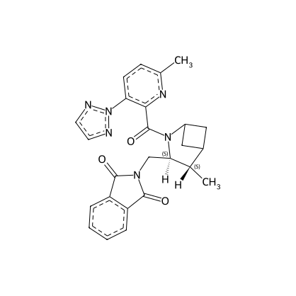 Cc1ccc(-n2nccn2)c(C(=O)N2C3CC(C3)[C@H](C)[C@H]2CN2C(=O)c3ccccc3C2=O)n1